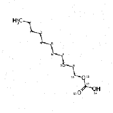 CCCCCCCCSCCOC(=O)O